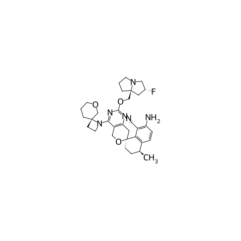 C[C@H]1CC[C@]2(Cc3nc(OC[C@@]45CCCN4C[C@H](F)C5)nc(N4CC[C@]45CCCOC5)c3CO2)c2c1ccc(N)c2C#N